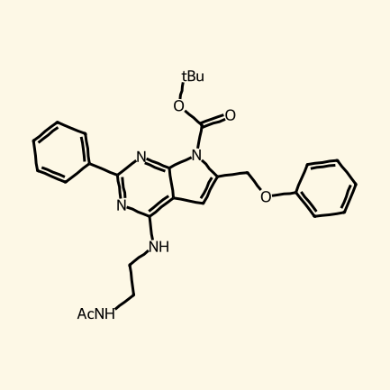 CC(=O)NCCNc1nc(-c2ccccc2)nc2c1cc(COc1ccccc1)n2C(=O)OC(C)(C)C